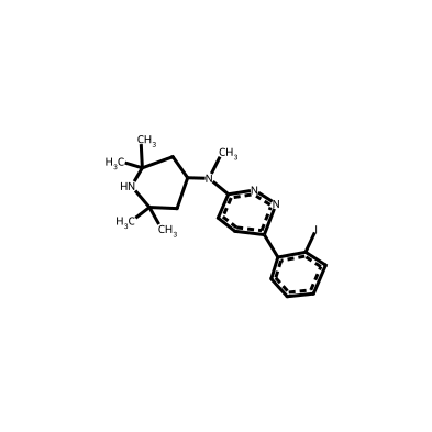 CN(c1ccc(-c2ccccc2I)nn1)C1CC(C)(C)NC(C)(C)C1